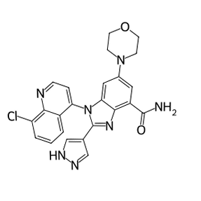 NC(=O)c1cc(N2CCOCC2)cc2c1nc(-c1cn[nH]c1)n2-c1ccnc2c(Cl)cccc12